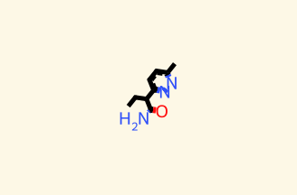 CCC(C(N)=O)c1ccc(C)nn1